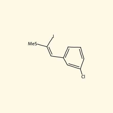 CSC(I)=Cc1cccc(Cl)c1